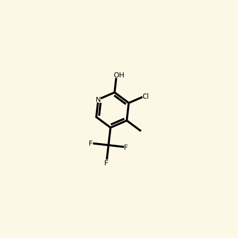 Cc1c(C(F)(F)F)cnc(O)c1Cl